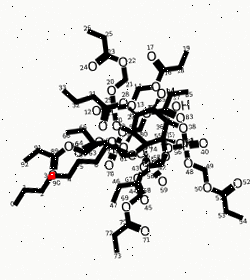 CCCCCCCCO[C@@]1(OP(=O)(OCOC(=O)CC)OCOC(=O)CC)[C@@H](OC(=O)CCC)[C@@H](O)[C@@](O)(OP(=O)(OCOC(=O)CC)OCOC(=O)CC)[C@](O)(OP(=O)(OCOC(=O)CC)OCOC(=O)CC)[C@@]1(O)OP(=O)(OCOC(=O)CC)OCOC(=O)CC